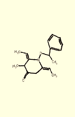 C/C=C1\CC(=O)C(C)/C(=C\C)N1OC(C)c1ccccc1